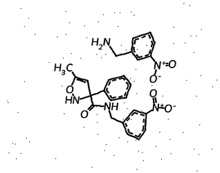 CC1=CC(C(=O)NCc2cccc([N+](=O)[O-])c2)(c2ccccc2)NO1.NCc1cccc([N+](=O)[O-])c1